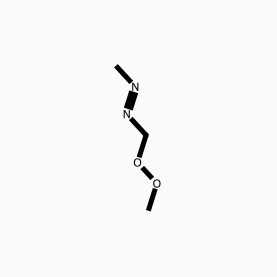 CN=NCOOC